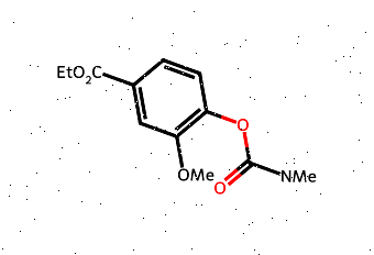 CCOC(=O)c1ccc(OC(=O)NC)c(OC)c1